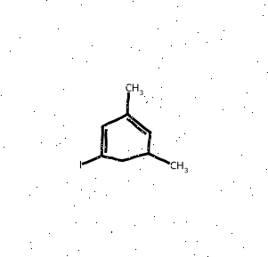 CC1=CC(C)CC(I)=C1